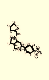 CS(=O)(=O)c1ccc(C2CC3C(CCN3CC3CCCS3)CN2)cc1